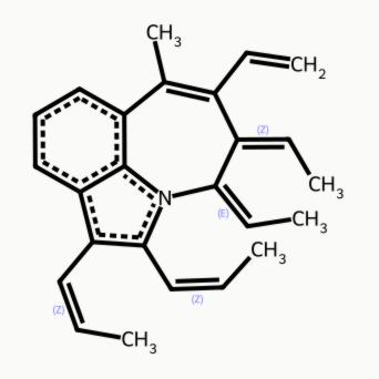 C=CC1=C(C)c2cccc3c(/C=C\C)c(/C=C\C)n(c23)C(=C/C)/C1=C\C